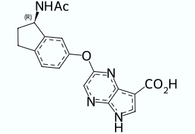 CC(=O)N[C@@H]1CCc2ccc(Oc3cnc4[nH]cc(C(=O)O)c4n3)cc21